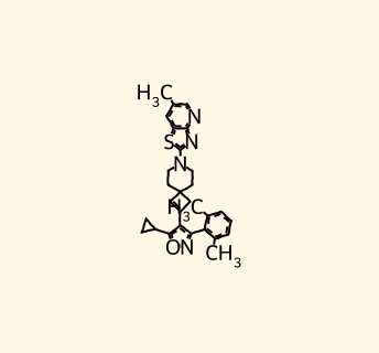 Cc1cnc2nc(N3CCC4(C=C(c5c(-c6c(C)cccc6C)noc5C5CC5)C4)CC3)sc2c1